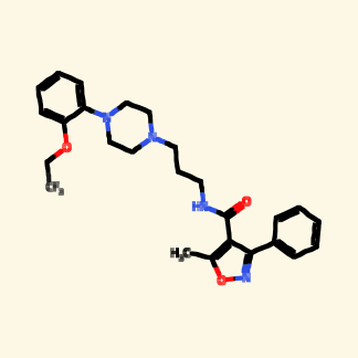 Cc1onc(-c2ccccc2)c1C(=O)NCCCN1CCN(c2ccccc2OCC(F)(F)F)CC1